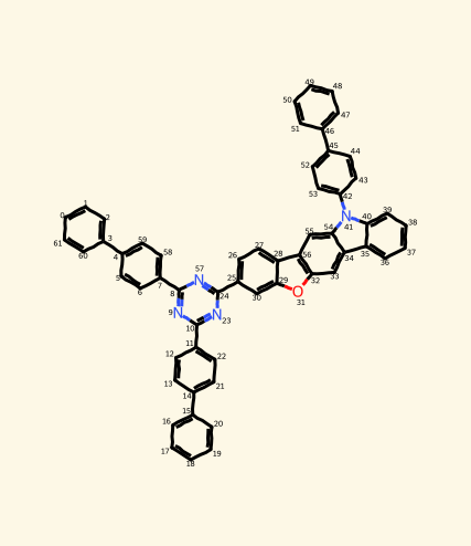 c1ccc(-c2ccc(-c3nc(-c4ccc(-c5ccccc5)cc4)nc(-c4ccc5c(c4)oc4cc6c7ccccc7n(-c7ccc(-c8ccccc8)cc7)c6cc45)n3)cc2)cc1